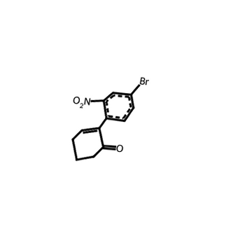 O=C1CCCC=C1c1ccc(Br)cc1[N+](=O)[O-]